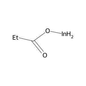 CCC(=O)[O][InH2]